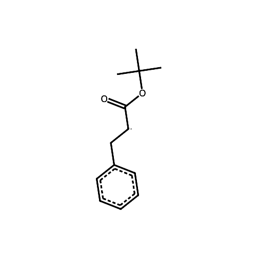 CC(C)(C)OC(=O)[CH]Cc1ccccc1